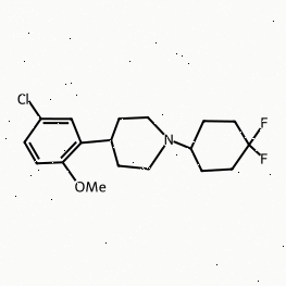 COc1ccc(Cl)cc1C1CCN(C2CCC(F)(F)CC2)CC1